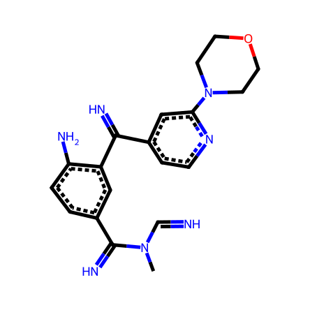 CN(C=N)C(=N)c1ccc(N)c(C(=N)c2ccnc(N3CCOCC3)c2)c1